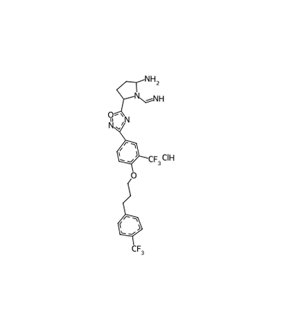 Cl.N=CN1C(N)CCC1c1nc(-c2ccc(OCCCc3ccc(C(F)(F)F)cc3)c(C(F)(F)F)c2)no1